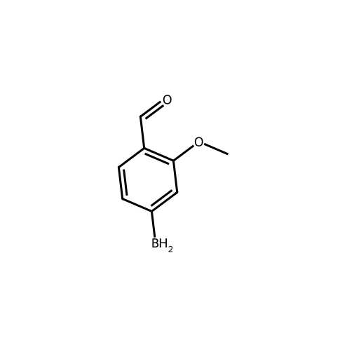 Bc1ccc(C=O)c(OC)c1